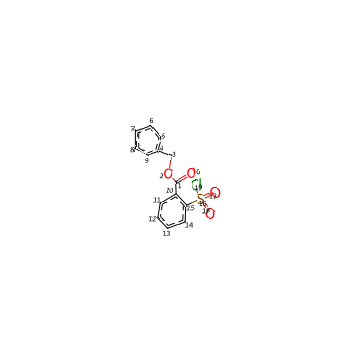 O=C(OCc1ccccc1)c1ccccc1S(=O)(=O)Cl